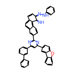 N=C1/C(=N\Nc2ccccc2)C=Cc2ccc3cc(-c4nc(-c5cccc(-c6ccccc6)c5)cc(-c5ccc6oc7ccccc7c6c5)n4)ccc3c21